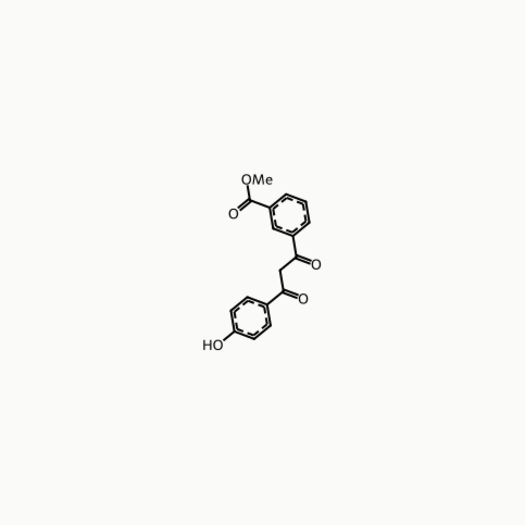 COC(=O)c1cccc(C(=O)CC(=O)c2ccc(O)cc2)c1